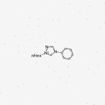 CCCCCC[n+]1cn(-c2ccccc2)cn1